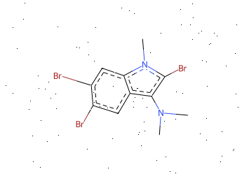 CN(C)c1c(Br)n(C)c2cc(Br)c(Br)cc12